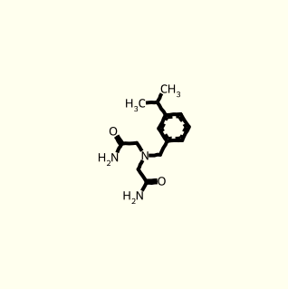 CC(C)c1cccc(CN(CC(N)=O)CC(N)=O)c1